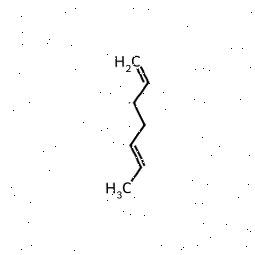 C=C[CH]CC=CC